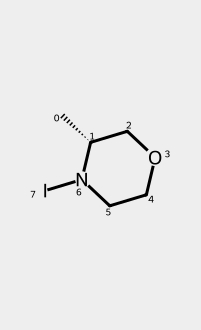 C[C@@H]1COCCN1I